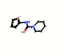 O=C(Nc1cccs1)N1CCCCC1